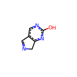 Oc1ncc2c(n1)CN=C2